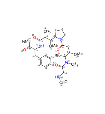 CCC(C)C(C(CC(=O)N1CCCC1C(OC)C(C)C(=O)NC(Cc1ccccc1)C(=O)NC)OC)N(C)C(=O)CNC=O